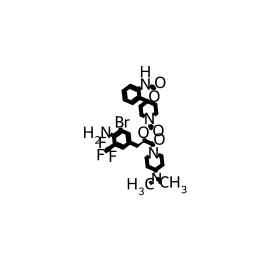 CN(C)C1CCN(C(=O)[C@@H](Cc2cc(Br)c(N)c(C(F)(F)F)c2)OC(=O)N2CCC3(CC2)OC(=O)Nc2ccccc23)CC1